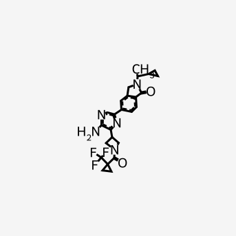 CC(C1CC1)N1Cc2cc(-c3cnc(N)c(C4CN(C(=O)C5(C(F)(F)F)CC5)C4)n3)ccc2C1=O